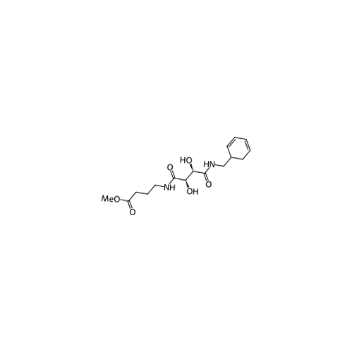 COC(=O)CCCNC(=O)[C@H](O)[C@@H](O)C(=O)NCC1C=CC=CC1